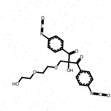 O=C=Nc1ccc(C(=O)C(O)(COCCOCCO)C(=O)c2ccc(N=C=O)cc2)cc1